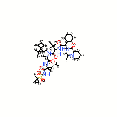 CC[C@@H]1C[C@]1(NC(=O)C1C[C@@]2(CN1C(=O)[C@@H](NC(=O)[C@@H](NC(=O)[C@@H]1CCCCN1C(C)C)C1CCCCC1)C(C)(C)C)C(C)(C)C21CCC1)C(=O)NS(=O)(=O)C1(C)CC1